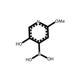 COc1cc(B(O)O)c(O)cn1